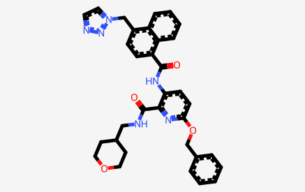 O=C(NCC1CCOCC1)c1nc(OCc2ccccc2)ccc1NC(=O)c1ccc(Cn2ccnn2)c2ccccc12